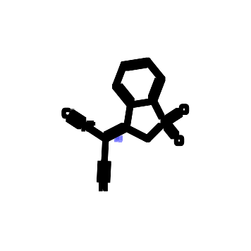 [C-]#[N+]/C(C#N)=C1/CS(=O)(=O)c2ccccc21